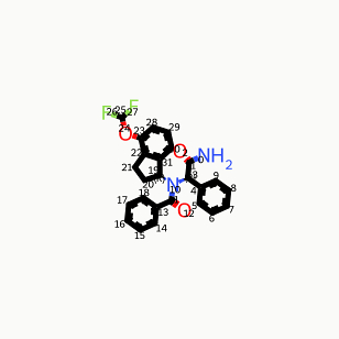 NC(=O)[C@@H](c1ccccc1)N(C(=O)c1ccccc1)[C@@H]1CCc2c(OC(F)F)cccc21